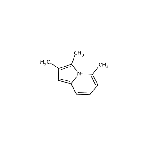 Cc1cc2cccc(C)n2c1C